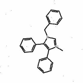 C[n+]1cn(Cc2ccccc2)c(-c2ccccc2)c1-c1ccccc1